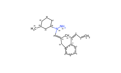 C=C/C=C\c1ccccc1C/C(C)=C/N(N)C1CCCC(C)C1